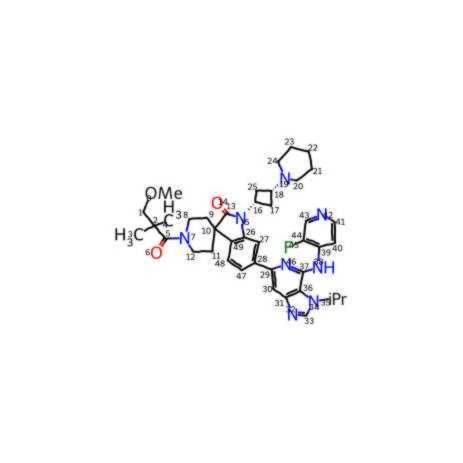 COCC(C)(C)C(=O)N1CCC2(CC1)C(=O)N([C@H]1C[C@@H](N3CCCCC3)C1)c1cc(-c3cc4ncn(C(C)C)c4c(Nc4ccncc4F)n3)ccc12